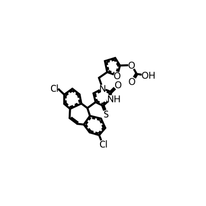 O=C(O)Oc1ccc(Cn2cc(C3c4ccc(Cl)cc4C=Cc4cc(Cl)ccc43)c(=S)[nH]c2=O)o1